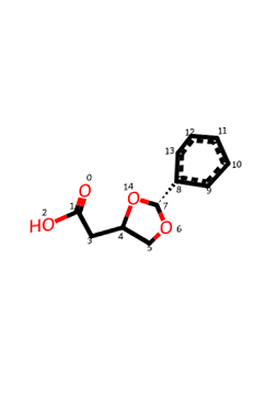 O=C(O)CC1CO[C@@H](c2ccccc2)O1